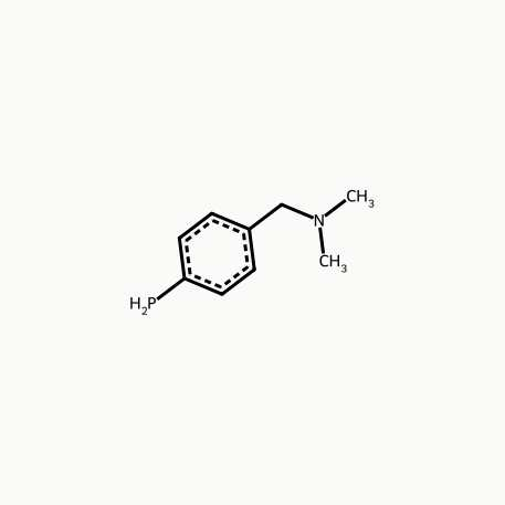 CN(C)Cc1ccc(P)cc1